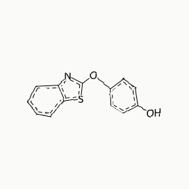 Oc1ccc(Oc2nc3ccccc3s2)cc1